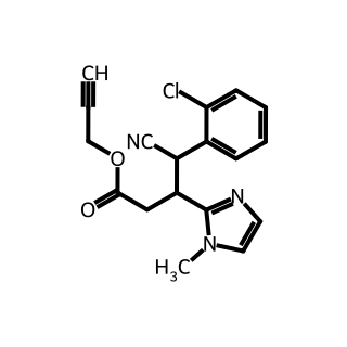 C#CCOC(=O)CC(c1nccn1C)C(C#N)c1ccccc1Cl